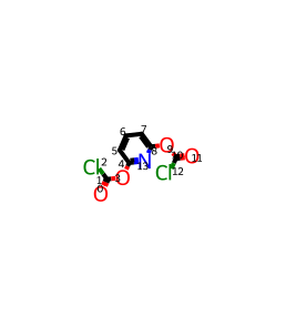 O=C(Cl)Oc1cccc(OC(=O)Cl)n1